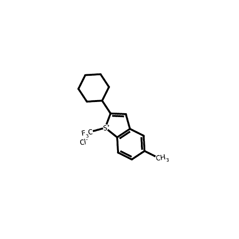 Cc1ccc2c(c1)cc(C1CCCCC1)[s+]2C(F)(F)F.[Cl-]